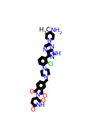 CC1(N)CCN(c2cnc3c(-c4cccc(N5CCN(Cc6ccc7c(c6)C(=O)N(C6CCC(=O)NC6=O)C7=O)CC5)c4Cl)n[nH]c3n2)CC1